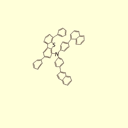 c1ccc(-c2cc(N(c3ccc(-c4ccc5ccccc5c4)cc3)c3ccc(-c4cccc5ccccc45)cc3)c3sc4c(-c5ccccc5)cccc4c3c2)cc1